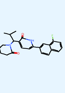 CC(C)C(c1ccc(-c2ccc3cccc(F)c3c2)[nH]c1=O)N1CCCCC1=O